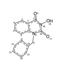 O=c1c2ccccc2n(Cc2ccccc2)c(=O)n1O